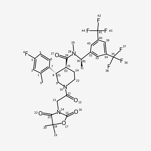 Cc1cc(F)ccc1[C@H]1CN(C(=O)CN2C(=O)OC(C)(C)C2=O)CC[C@@H]1C(=O)N(C)[C@H](C)c1cc(C(F)(F)F)cc(C(F)(F)F)c1